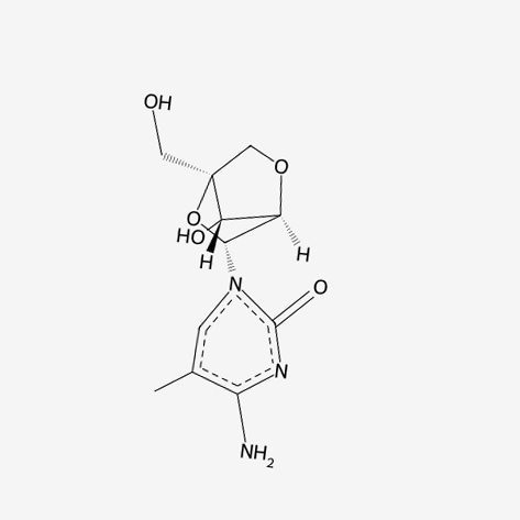 Cc1cn([C@@H]2O[C@@]3(CO)CO[C@@H]2[C@@H]3O)c(=O)nc1N